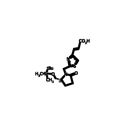 CC(C)(C)[Si](C)(C)OC[C@H]1CCC(=O)N1Cc1nc(C=CC(=O)O)cs1